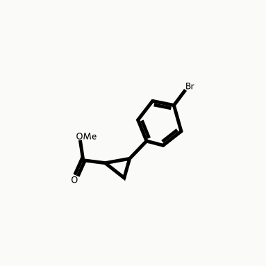 COC(=O)C1CC1c1ccc(Br)cc1